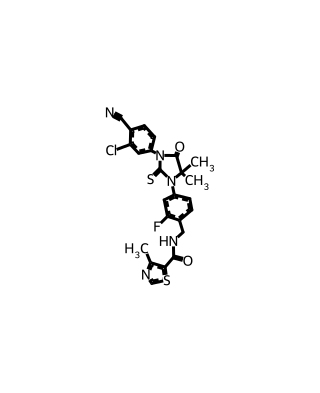 Cc1ncsc1C(=O)NCc1ccc(N2C(=S)N(c3ccc(C#N)c(Cl)c3)C(=O)C2(C)C)cc1F